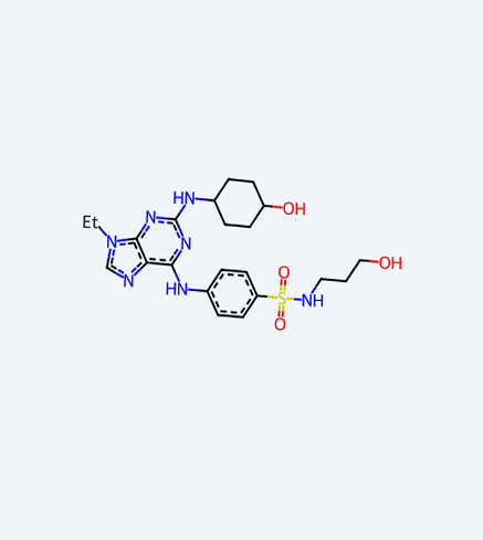 CCn1cnc2c(Nc3ccc(S(=O)(=O)NCCCO)cc3)nc(NC3CCC(O)CC3)nc21